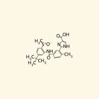 Cc1ccc(C(=O)Nc2cc(C(C)(C)C)ccc2[S+](C)[O-])cc1-c1nc(C(=O)O)c[nH]1